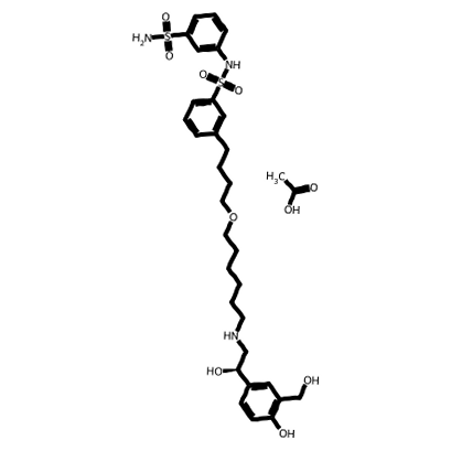 CC(=O)O.NS(=O)(=O)c1cccc(NS(=O)(=O)c2cccc(CCCCOCCCCCCNC[C@H](O)c3ccc(O)c(CO)c3)c2)c1